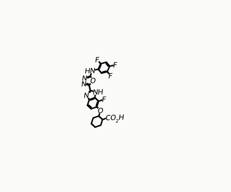 O=C(O)C1CCCCC1Oc1ccc2nc(-c3nnc(Nc4cc(F)c(F)cc4F)o3)[nH]c2c1F